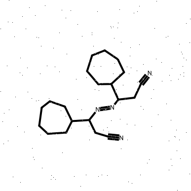 N#CCC(N=NC(CC#N)C1CCCCCC1)C1CCCCCC1